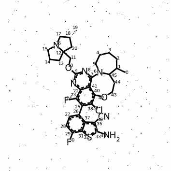 CC1CCCCN2c3nc(OCC45CCCN4C[C@H](C)C5)nc4c(F)c(-c5ccc(F)c6sc(N)c(C#N)c56)c(Cl)c(c34)OCCC12